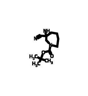 CC(C)(C)OC(=O)N1CCCCC(N)(C#N)C1